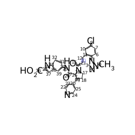 Cn1ncn1-c1ccc(Cl)cc1/C=C/C(=O)N1CC[C@H](c2ccncc2)C1C(=O)Nc1ccc2[nH]c(C(=O)O)cc2c1